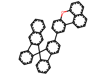 c1ccc2c(c1)-c1ccc(-c3ccc4c(c3)-c3cccc5cccc(c35)O4)cc1C21c2ccccc2-c2cc3ccccc3cc21